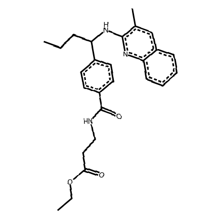 CCCC(Nc1nc2ccccc2cc1C)c1ccc(C(=O)NCCC(=O)OCC)cc1